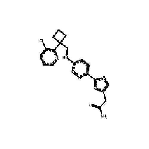 NC(=O)Cc1cnc(-c2ccc(NCC3(c4ncccc4Cl)CCC3)nn2)s1